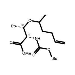 C=CCCC(C)O[C@@H](CC)[C@H](NC(=O)OC(C)(C)C)C(=O)OC